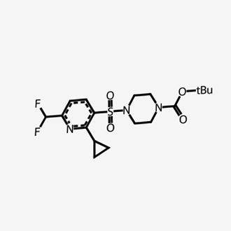 CC(C)(C)OC(=O)N1CCN(S(=O)(=O)c2ccc(C(F)F)nc2C2CC2)CC1